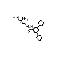 NC[C@@H](N)CCCNC(=O)c1cc(-c2ccccc2)cc(-c2ccccc2)c1